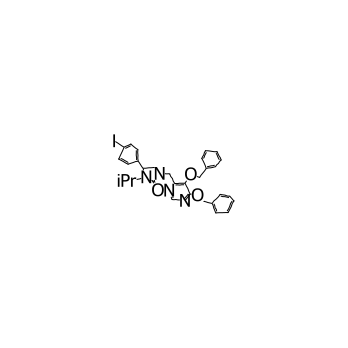 CC(C)N1C(=O)N(Cc2ncnc(OCc3ccccc3)c2OCc2ccccc2)CC1c1ccc(I)cc1